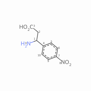 NC(CC(=O)O)c1ccc([N+](=O)[O-])cc1